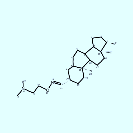 C[C@H]1CCC2C3CCC4C[C@@H](C=NOCCN(C)C)CC[C@]4(C)C3CC[C@@]21C